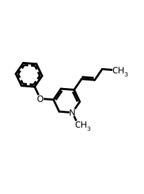 CC/C=C/C1=CN(C)CC(Oc2ccccc2)=C1